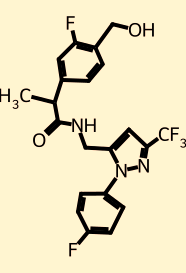 CC(C(=O)NCc1cc(C(F)(F)F)nn1-c1ccc(F)cc1)c1ccc(CO)c(F)c1